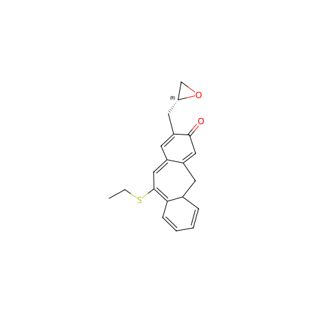 CCSC1=C2C=CC=CC2CC2=CC(=O)C(C[C@@H]3CO3)=CC2=C1